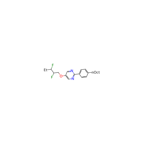 CCCCCCCCc1ccc(-c2ncc(OCC(F)C(F)CC)cn2)cc1